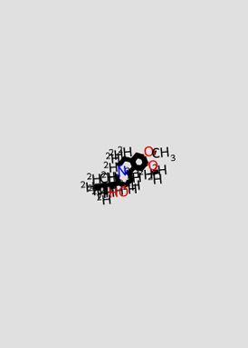 [2H]C([2H])([2H])Oc1cc2c(cc1OC)C([2H])([2H])C([2H])([2H])N1CC([2H])(C([2H])([2H])C(C)(C([2H])([2H])[2H])C([2H])([2H])[2H])C([2H])(O)C([2H])([2H])C21[2H]